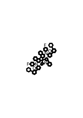 Fc1ccc(N(c2cc3c(c4ccccc24)-c2c(cc(N(c4ccc(F)cc4)c4cccc5c4oc4c(C6CCCCC6)cccc45)c4ccccc24)C32c3ccccc3-n3c4ccccc4c4cccc2c43)c2cccc3c2oc2c(C4CCCCC4)cccc23)cc1